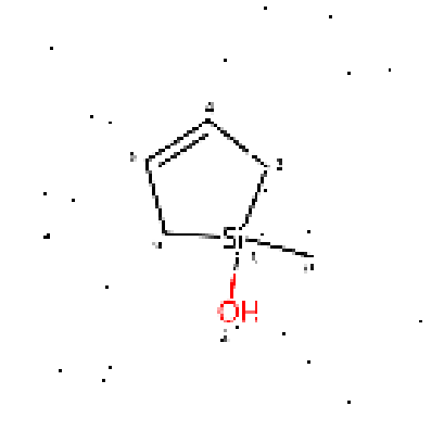 C[Si]1(O)CC=CC1